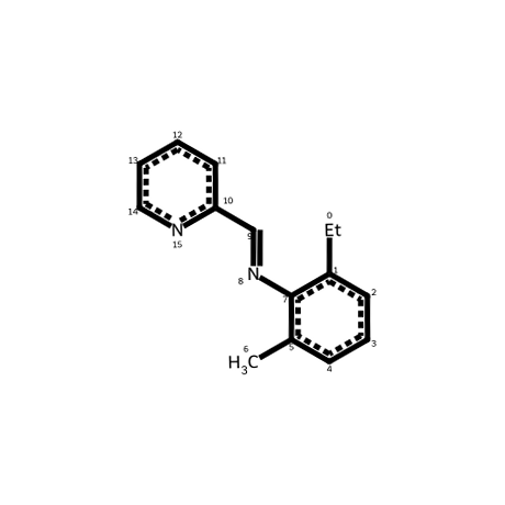 CCc1cccc(C)c1N=Cc1ccccn1